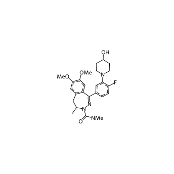 CNC(=O)N1N=C(c2ccc(F)c(N3CCC(O)CC3)c2)c2cc(OC)c(OC)cc2CC1C